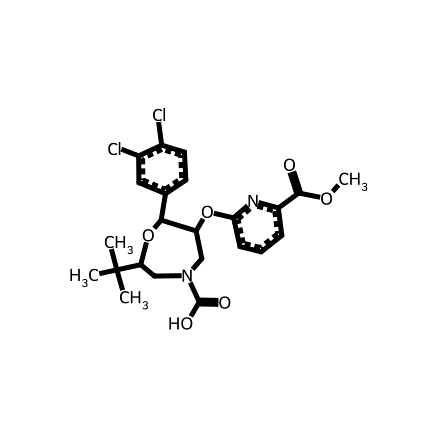 COC(=O)c1cccc(OC2CN(C(=O)O)CC(C(C)(C)C)OC2c2ccc(Cl)c(Cl)c2)n1